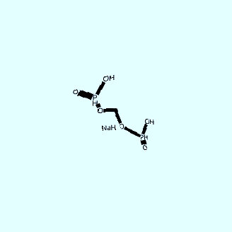 O=[PH](O)OCO[PH](=O)O.[NaH]